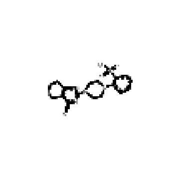 CS(=O)(=O)c1ccccc1N1CCN(c2nc(=O)c3c([nH]2)CCSC3)CC1